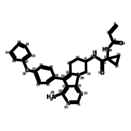 C=CC(=O)NC1(C(=O)NC2CCc3c(-c4ccc(Oc5ccccc5)cc4)c4c(N)ncnc4n3C2)CC1